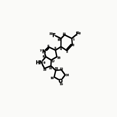 FC1C=CC(C2C=NC3NCC(C4CCOC4)C3C2)C(F)C1